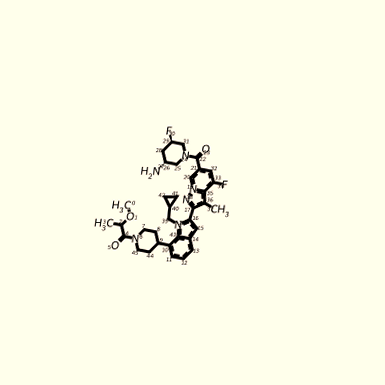 COC(C)C(=O)N1CCC(c2cccc3cc(-c4nn5cc(C(=O)N6C[C@H](N)C[C@@H](F)C6)cc(F)c5c4C)n(CC4CC4)c23)CC1